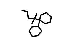 CCCC(C)(C)C1(C2CCCCC2)CCCCC1